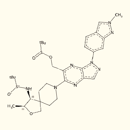 C[C@@H]1OCC2(CCN(c3nc4cnn(-c5ccc6cn(C)nc6c5)c4nc3COS(=O)C(C)(C)C)CC2)[C@@H]1N[S+]([O-])C(C)(C)C